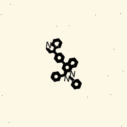 C1=CC2=NC=CC(c3ccc(-c4cc5c(-c6ccccc6)nc(-c6ccccc6)nc5c5ccccc45)cc3)C2C=C1